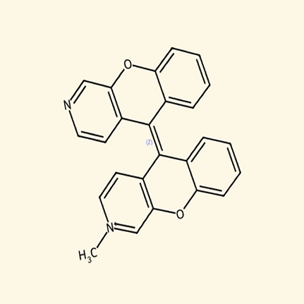 C[n+]1ccc2c(c1)Oc1ccccc1/C2=C1\c2ccccc2Oc2cnccc21